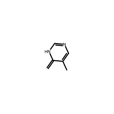 C=C1NC=NC=C1C